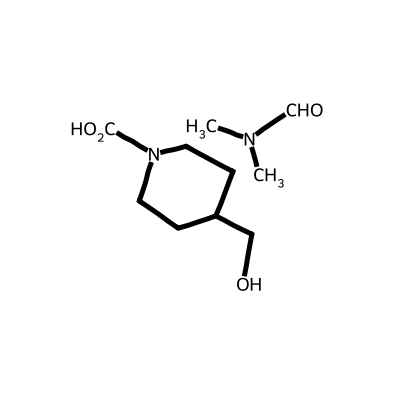 CN(C)C=O.O=C(O)N1CCC(CO)CC1